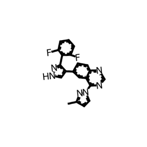 Cc1ccn(-c2ncnc3ccc(-c4c[nH]nc4-c4c(F)cccc4F)cc23)n1